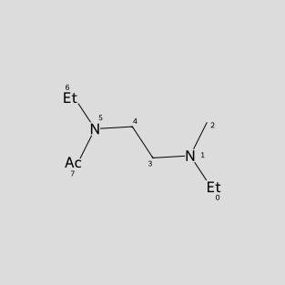 CCN(C)CCN(CC)C(C)=O